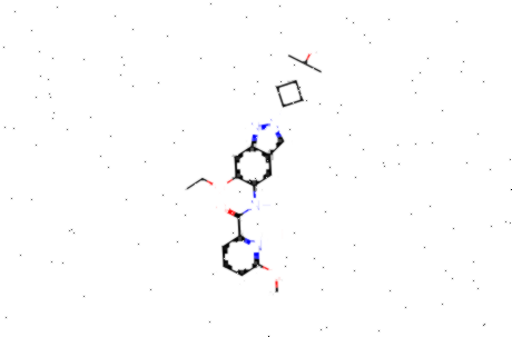 CCOc1cc2nn([C@H]3C[C@@H](C(C)(C)O)C3)cc2cc1NC(=O)c1cccc(OC)[n+]1O